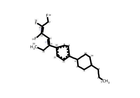 CCCC1CCC(c2ccc(/C(=C/C(F)=C(/F)CF)CC)cc2)CC1